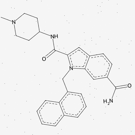 CN1CCC(NC(=O)c2cc3ccc(C(N)=O)cc3n2Cc2cccc3ccccc23)CC1